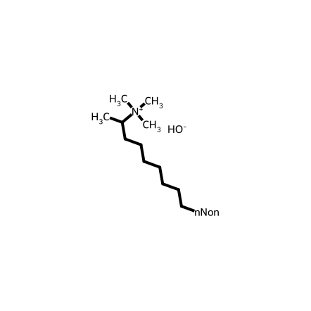 CCCCCCCCCCCCCCCCC(C)[N+](C)(C)C.[OH-]